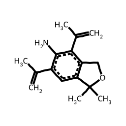 C=C(C)c1cc2c(c(C(=C)C)c1N)COC2(C)C